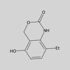 CCc1ccc(O)c2c1NC(=O)OC2